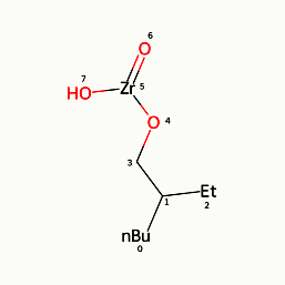 CCCCC(CC)C[O][Zr](=[O])[OH]